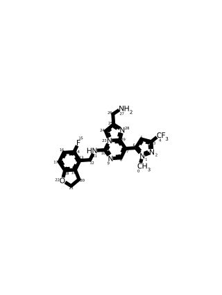 Cn1nc(C(F)(F)F)cc1-c1cnc(NCc2c(F)ccc3c2CCO3)n2cc(CN)nc12